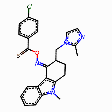 Cc1nccn1CC1CCc2c(c3ccccc3n2C)/C1=N/OC(=S)c1ccc(Cl)cc1